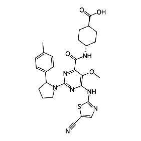 COc1c(Nc2ncc(C#N)s2)nc(N2CCCC2c2ccc(C)cc2)nc1C(=O)N[C@H]1CC[C@H](C(=O)O)CC1